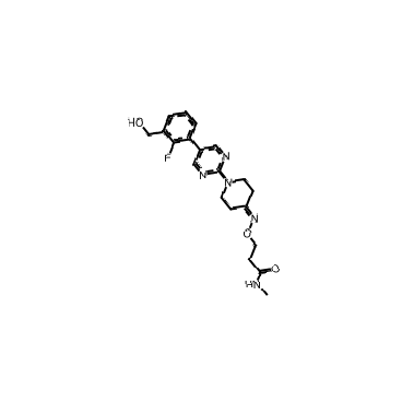 CNC(=O)CCON=C1CCN(c2ncc(-c3cccc(CO)c3F)cn2)CC1